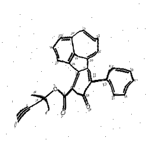 C#CC(C)(C)OC(=O)C1=C2C(=C(c3ccccc3)C1=O)c1cccc3cccc2c13